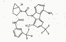 Cc1cc(C(F)(F)F)cc2c3c(N)ncnc3n(CC(=O)N3[C@@H]4CC4C[C@H]3C(=O)Nc3cncc(C(F)(F)F)n3)c12